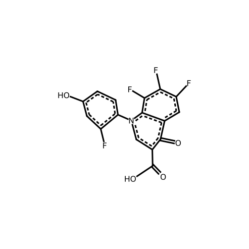 O=C(O)c1cn(-c2ccc(O)cc2F)c2c(F)c(F)c(F)cc2c1=O